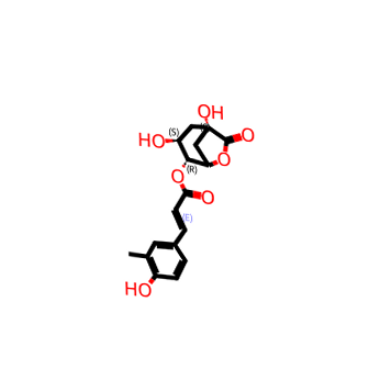 Cc1cc(/C=C/C(=O)O[C@H]2C3C[C@@](O)(C[C@@H]2O)C(=O)O3)ccc1O